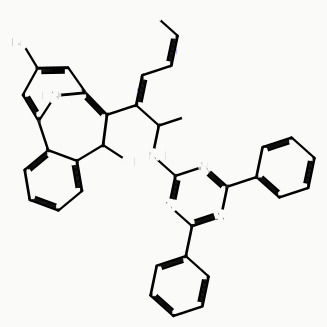 C/C=C\C=C(\C1=C2C=C(Br)C=C(N2)c2ccccc2C1C)C(C)Nc1nc(-c2ccccc2)nc(-c2ccccc2)n1